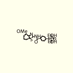 CCC(CC)(c1ccc(C(=O)Nc2nc3c(OC)cccc3s2)cc1)P(=O)(O)O